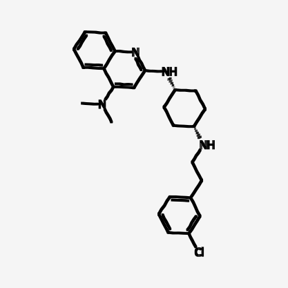 CN(C)c1cc(N[C@H]2CC[C@@H](NCCc3cccc(Cl)c3)CC2)nc2ccccc12